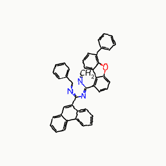 C=N/C(=N\C(=N/Cc1ccccc1)c1cc2ccccc2c2ccccc12)c1cccc2oc3c(-c4ccccc4)cccc3c12